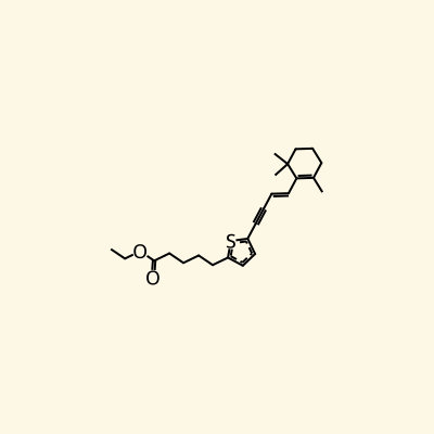 CCOC(=O)CCCCc1ccc(C#CC=CC2=C(C)CCCC2(C)C)s1